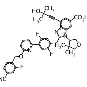 CC(C)(O)C#Cc1cc(C(=O)O)cc2c1nc(Cc1cc(F)c(-c3cccc(OCc4ccc(C#N)cc4F)n3)cc1F)n2C1COCC1(C)C